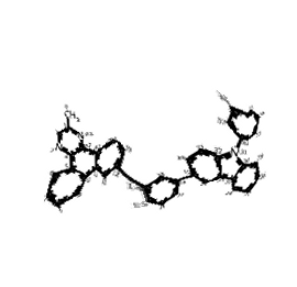 Cc1cnc2c3ccccc3c3cc(-c4cccc(-c5ccc6c(c5)c5ccccc5n6-c5ccccc5)c4)ccc3c2n1